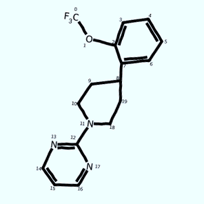 FC(F)(F)Oc1c[c]ccc1C1CCN(c2ncccn2)CC1